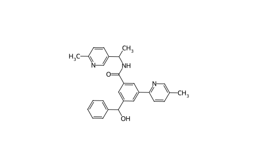 Cc1ccc(-c2cc(C(=O)NC(C)c3ccc(C)nc3)cc(C(O)c3ccccc3)c2)nc1